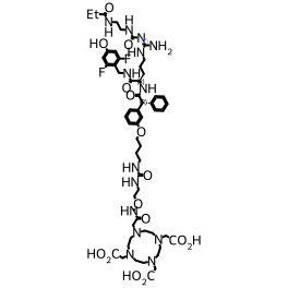 CCC(=O)NCCNC(=O)/N=C(/N)NCCC[C@@H](NC(=O)[C@H](c1ccccc1)c1cccc(OCCCCNC(=O)NCCONC(=O)CN2CCN(CC(=O)O)CCN(CC(=O)O)CCN(CC(=O)O)CC2)c1)C(=O)NCc1c(F)cc(O)cc1F